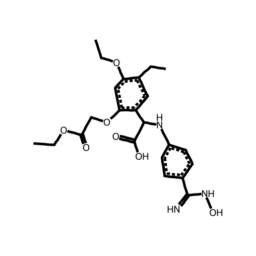 CCOC(=O)COc1cc(OCC)c(CC)cc1C(Nc1ccc(C(=N)NO)cc1)C(=O)O